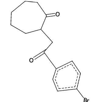 O=C(CC1CCCCCC1=O)c1ccc(Br)cc1